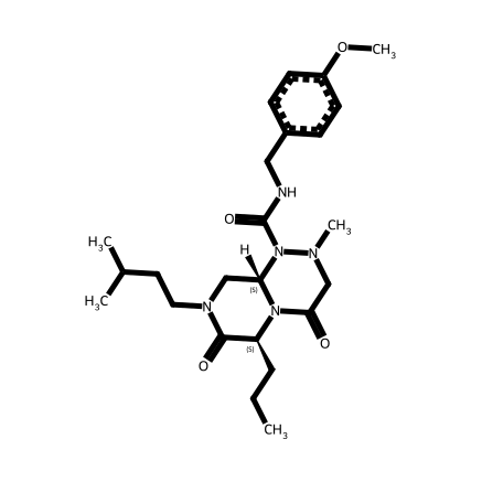 CCC[C@H]1C(=O)N(CCC(C)C)C[C@H]2N1C(=O)CN(C)N2C(=O)NCc1ccc(OC)cc1